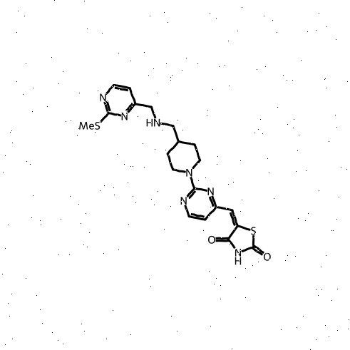 CSc1nccc(CNCC2CCN(c3nccc(C=C4SC(=O)NC4=O)n3)CC2)n1